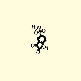 NS(=O)(=O)c1ccc2c(c1)C(=O)C(=O)N2